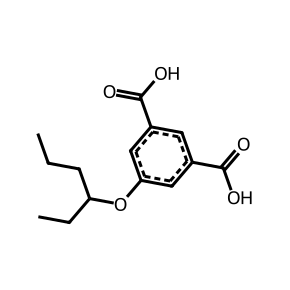 CCCC(CC)Oc1cc(C(=O)O)cc(C(=O)O)c1